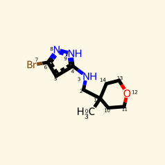 CC1(CNc2cc(Br)n[nH]2)CCOCC1